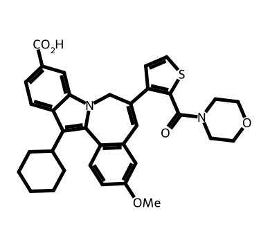 COc1ccc2c(c1)C=C(c1ccsc1C(=O)N1CCOCC1)Cn1c-2c(C2CCCCC2)c2ccc(C(=O)O)cc21